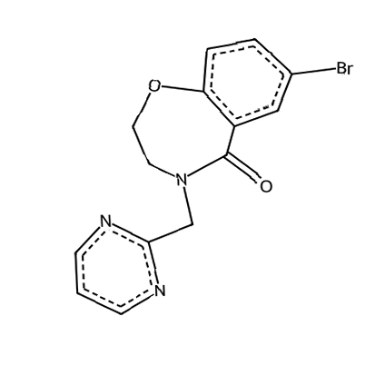 O=C1c2cc(Br)ccc2OCCN1Cc1ncccn1